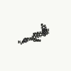 COc1cc2c(Oc3ccc(NC(=O)C4(C(=O)Nc5ccc(F)cc5)CCC4)cc3F)ccnc2cc1OCCCN1CCN(C)CC1